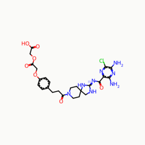 Nc1nc(N)c(C(=O)/N=C2\NCC3(CCN(C(=O)CCc4ccc(OCC(=O)OCC(=O)O)cc4)CC3)N2)nc1Cl